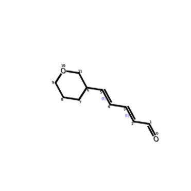 O=C/C=C/C=C/C1CCCOC1